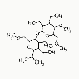 COCC1OC(OC2C(COC)OC(C(C)C)C(CO)C2CO)C(CO)C(CO)C1OC